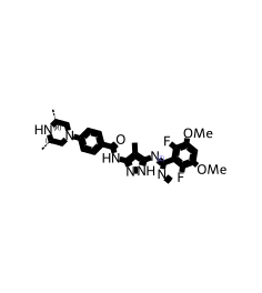 C=N/C(=N\c1[nH]nc(NC(=O)c2ccc(N3C[C@@H](C)N[C@@H](C)C3)cc2)c1C)c1c(F)c(OC)cc(OC)c1F